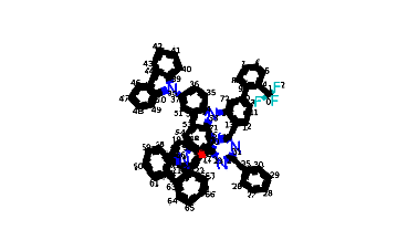 FC(F)(F)c1ccccc1-c1ccc(-c2nc(-c3ccccc3)nc(-c3ccccc3)n2)c(-n2c3ccc(-n4c5ccccc5c5ccccc54)cc3c3cc(-n4c5ccccc5c5ccccc54)ccc32)c1